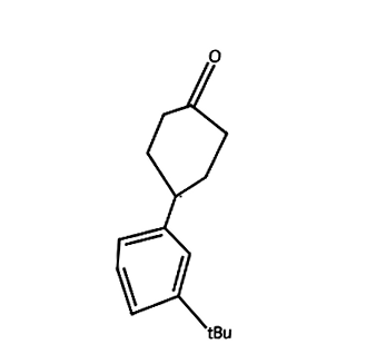 CC(C)(C)c1cccc([C]2CCC(=O)CC2)c1